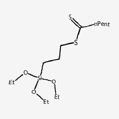 CCCCCC(=S)SCCC[Si](OCC)(OCC)OCC